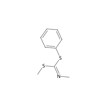 C/N=C(/SC)Sc1ccccc1